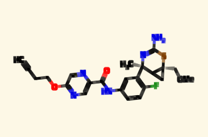 C#CCCOc1cnc(C(=O)Nc2ccc(F)c([C@@]3(C)N=C(N)S[C@@]4(COC)CC43)c2)cn1